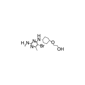 Cc1nc(N)nc(N[C@H]2CC[C@H](OCCO)CC2)c1Br